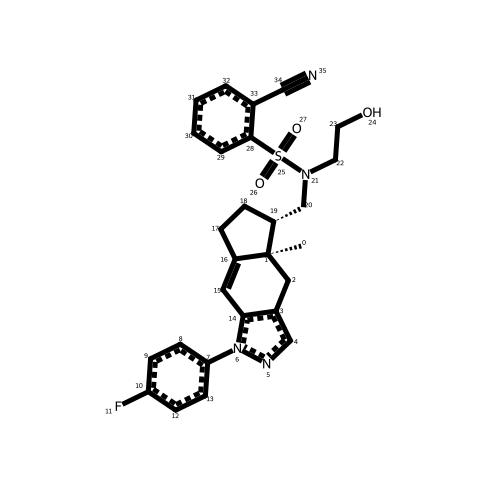 C[C@]12Cc3cnn(-c4ccc(F)cc4)c3C=C1CC[C@@H]2CN(CCO)S(=O)(=O)c1ccccc1C#N